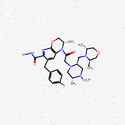 CCNC(=O)c1nc2c(cc1Cc1ccc(F)cc1)N(C(=O)CN1C[C@@H](C)N(C(=O)O)C[C@@H]1CN1[C@H](C)COC[C@H]1C)[C@@H](C)CO2